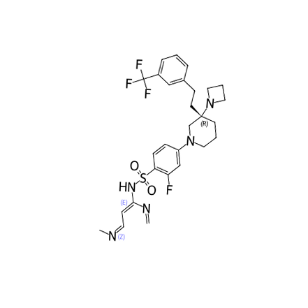 C=N/C(=C\C=N/C)NS(=O)(=O)c1ccc(N2CCC[C@@](CCc3cccc(C(F)(F)F)c3)(N3CCC3)C2)cc1F